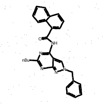 CCCCc1nc(NC(=O)c2cccc3ccccc23)c2cn(Cc3ccccc3)nc2n1